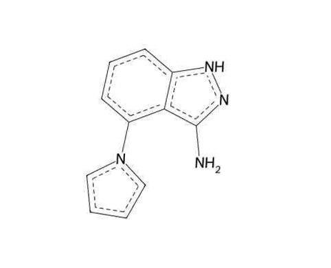 Nc1n[nH]c2cccc(-n3cccc3)c12